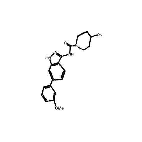 COc1cccc(-c2ccc3c(NC(=O)N4CCC(O)CC4)n[nH]c3c2)c1